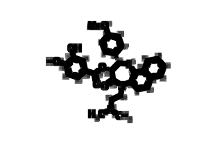 COc1ccc([C@@H]2Sc3c(ccc4ccccc34)N(CCN(C)C)C(=O)[C@@H]2OC(=O)c2ccc(O)c(O)c2)cc1